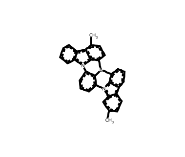 Cc1ccc2c3cccc4c3n(c2c1)-c1cccc2c1B4c1ccc(C)c3c4ccccc4n-2c13